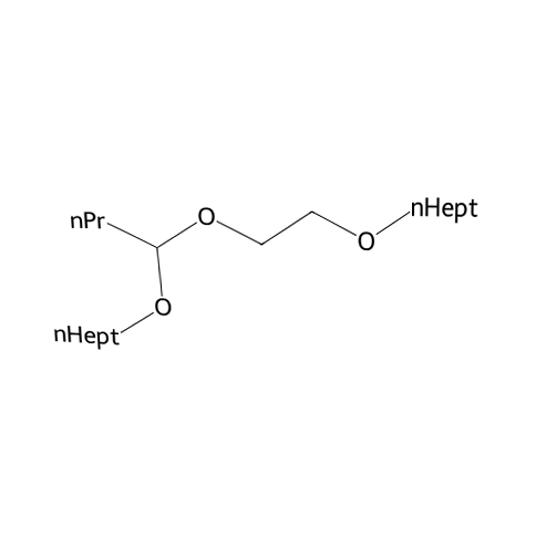 CCCCCCCOCCOC(CCC)OCCCCCCC